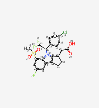 CS(=O)(=O)c1cc(F)cc2c3c(n([C@H](c4ccc(Cl)cc4)C(F)F)c12)[C@@H](CC(=O)O)CC3